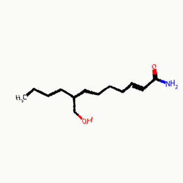 CCCCC(CO)CCCCC=CC(N)=O